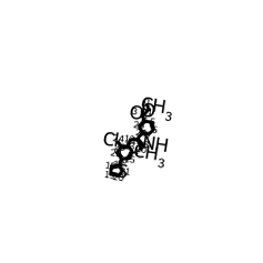 COC(=O)c1ccc2[nH]c(C)c(Cc3ccc(-c4cccs4)cc3Cl)c2c1